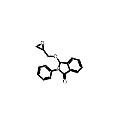 O=C1c2ccccc2C(OCC2CO2)N1c1ccccc1